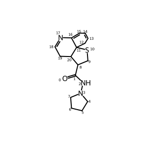 O=C(NN1CCCC1)C1CSC23CC=CC=C2N=CCC13